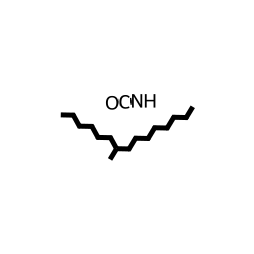 CCCCCCCCC(C)CCCCCC.N=C=O